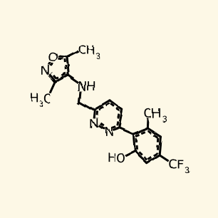 Cc1cc(C(F)(F)F)cc(O)c1-c1ccc(CNc2c(C)noc2C)nn1